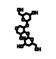 OCC1CC(O)CC(OC2COCC(O)C2OC2CC(O)CC(CO)O2)O1